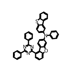 c1ccc(-c2nc(-c3ccccc3)nc(-c3cccc4oc5cc(N(c6ccccc6)c6ccc7sc8ccccc8c7c6)ccc5c34)n2)cc1